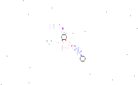 COc1cc(CC(N)=O)ccc1OCC(O)CN1CCN(c2ccccc2)CC1